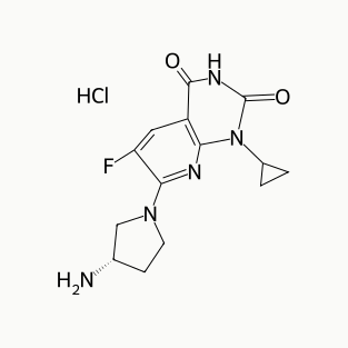 Cl.N[C@H]1CCN(c2nc3c(cc2F)c(=O)[nH]c(=O)n3C2CC2)C1